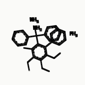 CCc1c(C)c(C(N)(c2ccccc2)c2ccccc2)c(-c2ccccc2)c(CC)c1CC.N.P